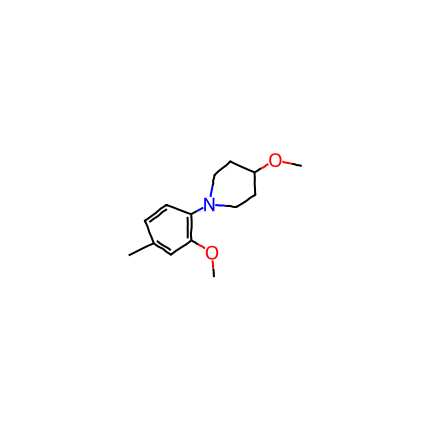 COc1cc(C)ccc1N1CCC(OC)CC1